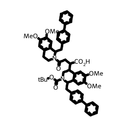 COc1cc2c(cc1OC)C(Cc1ccc(-c3ccccc3)cc1)N(C(=O)CC(C(=O)O)C1CN(C(=O)OC(C)(C)C)C(Cc3ccc(-c4ccccc4)cc3)c3cc(OC)c(OC)cc31)CC2